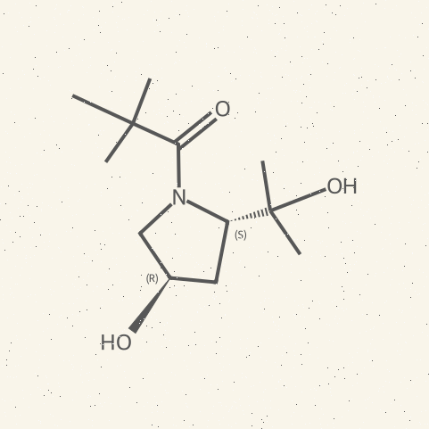 CC(C)(C)C(=O)N1C[C@H](O)C[C@H]1C(C)(C)O